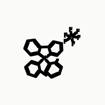 Cc1ccccc1[N+]1(c2ccccc2C)c2ccccc2-c2ccccc21.F[P-](F)(F)(F)(F)F